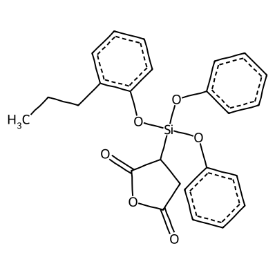 CCCc1ccccc1O[Si](Oc1ccccc1)(Oc1ccccc1)C1CC(=O)OC1=O